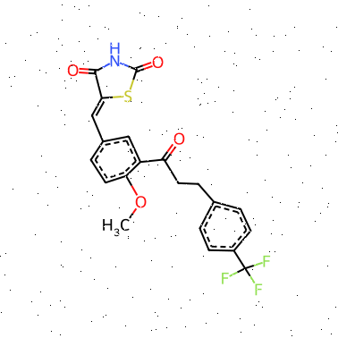 COc1ccc(/C=C2\SC(=O)NC2=O)cc1C(=O)CCc1ccc(C(F)(F)F)cc1